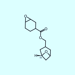 O=C(OCC1CC2C[C@H](C1)O2)C1CCC2OC2C1